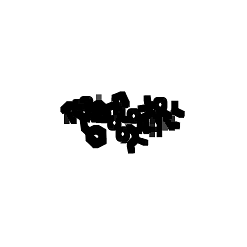 CC[C@H](C)[C@@H]([C@@H](CC(=O)N1CCC[C@H]1[C@H](OC)[C@@H](C)C(=O)NC(Cc1ccccc1)c1nccs1)OC)N(C)C(=O)[C@@H](NC(=O)[C@H](C(C)C)N(C)C)C(C)(C)C